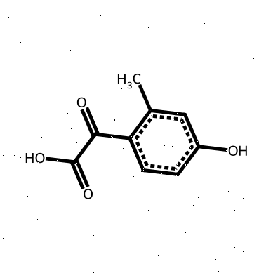 Cc1cc(O)ccc1C(=O)C(=O)O